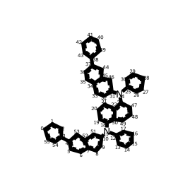 c1ccc(-c2ccc3ccc(N(c4ccccc4)c4cccc5c(N(c6ccccc6)c6ccc7ccc(-c8ccccc8)cc7c6)cccc45)cc3c2)cc1